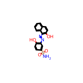 NS(=O)(=O)c1ccc(O)c(/N=N/c2c(O)ccc3ccccc23)c1